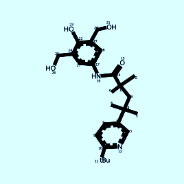 CC(C)(CC(C)(C)c1ccc(C(C)(C)C)nc1)C(=O)Nc1cc(CO)c(O)c(CO)c1